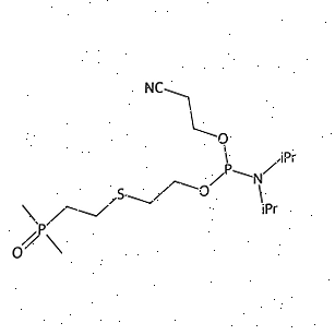 CC(C)N(C(C)C)P(OCCC#N)OCCSCCP(C)(C)=O